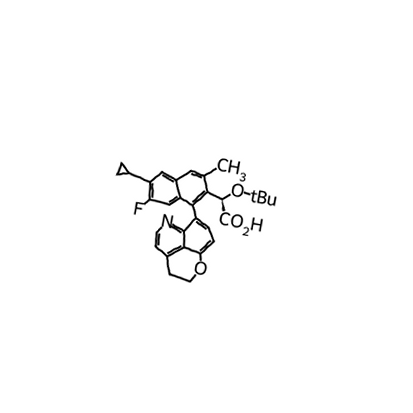 Cc1cc2cc(C3CC3)c(F)cc2c(-c2ccc3c4c(ccnc24)CCO3)c1[C@@H](OC(C)(C)C)C(=O)O